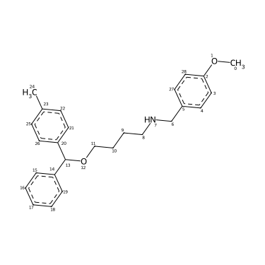 COc1ccc(CNCCCCOC(c2ccccc2)c2ccc(C)cc2)cc1